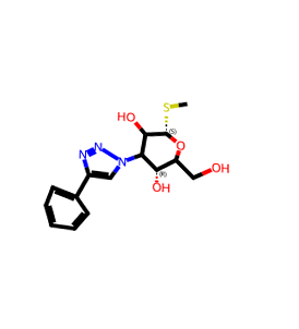 CS[C@@H]1OC(CO)[C@H](O)C(n2cc(-c3ccccc3)nn2)C1O